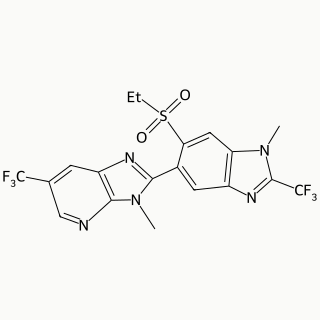 CCS(=O)(=O)c1cc2c(cc1-c1nc3cc(C(F)(F)F)cnc3n1C)nc(C(F)(F)F)n2C